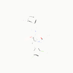 CCC(C)CC(=O)N[C@@H](Cc1cc(F)cc(F)c1)[C@@H](O)CNCc1cccc(I)c1